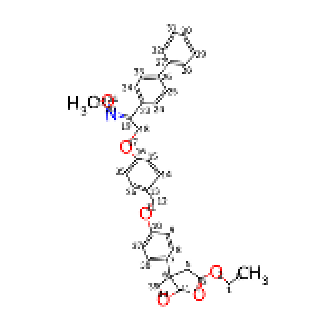 CCOC(=O)CC1(c2ccc(OCc3ccc(OCC(=NOC)c4ccc(-c5ccccc5)cc4)cc3)cc2)COC1